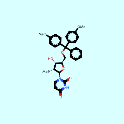 COc1ccc(C(OC[C@H]2O[C@@H](n3ccc(=O)[nH]c3=O)[C@H](SC)[C@@H]2O)(c2ccccc2)c2ccc(OC)cc2)cc1